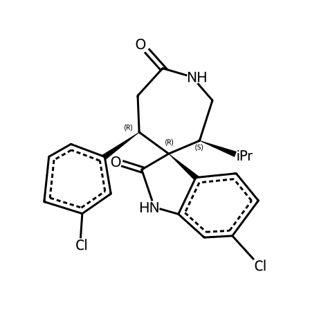 CC(C)[C@@H]1CNC(=O)C[C@H](c2cccc(Cl)c2)[C@@]12C(=O)Nc1cc(Cl)ccc12